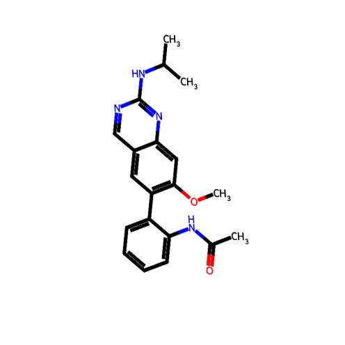 COc1cc2nc(NC(C)C)ncc2cc1-c1ccccc1NC(C)=O